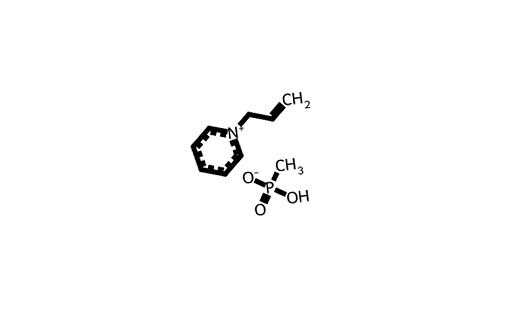 C=CC[n+]1ccccc1.CP(=O)([O-])O